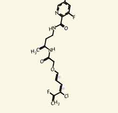 C=C(CCNC(=O)c1ncc(F)cc1F)NC(=O)CO/C=C/C=C(/Cl)C(=C)F